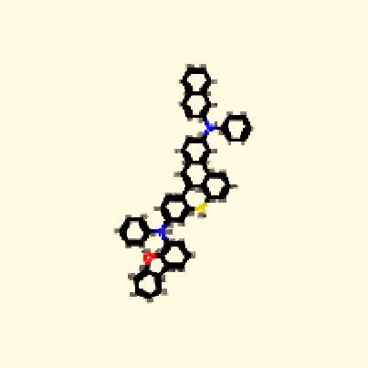 c1ccc(N(c2ccc3ccccc3c2)c2ccc3cc4c5c(cccc5c3c2)Sc2cc(N(c3ccccc3)c3cccc5c3oc3ccccc35)ccc2-4)cc1